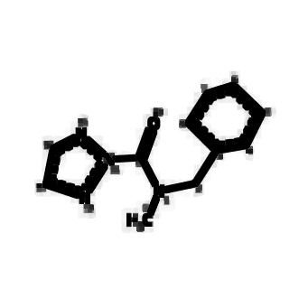 CN(Cc1ccccc1)C(=O)n1nccn1